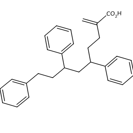 C=C(CCC(CC(CCc1ccccc1)c1ccccc1)c1ccccc1)C(=O)O